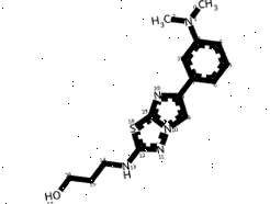 CN(C)c1cccc(-c2cn3nc(NCCCO)sc3n2)c1